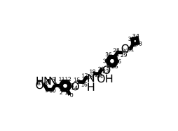 Cc1cc(C2=NNC(=O)CC2)ccc1OCCCNCC(O)COc1ccc(CCOCC2CCC2)cc1